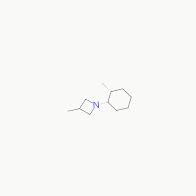 CC1CN([C@H]2CCCC[C@H]2C)C1